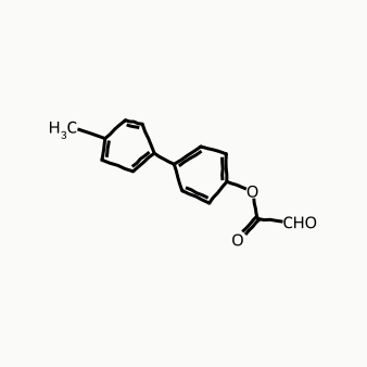 Cc1ccc(-c2ccc(OC(=O)C=O)cc2)cc1